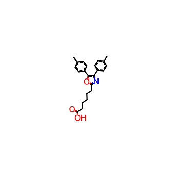 Cc1ccc(-c2nc(CCCCCC(=O)O)oc2-c2ccc(C)cc2)cc1